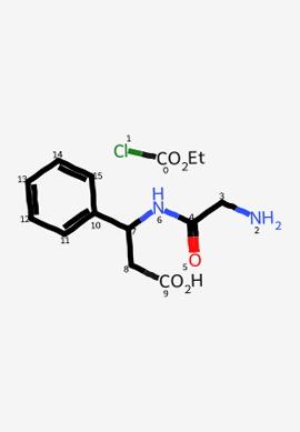 CCOC(=O)Cl.NCC(=O)NC(CC(=O)O)c1ccccc1